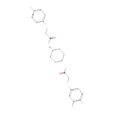 Cc1cc(OCC(=O)N[C@H]2CC[C@H](NC(=O)COc3ccc(Cl)cc3)CC2)ccc1Cl